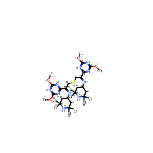 CCOc1nc(OCC)nc(C(CSCC(=NC2CC(CC)(CC)NC(CC)(CC)C2)c2nc(OCC)nc(OCC)n2)=NC2CC(CC)(CC)NC(CC)(CC)C2)n1